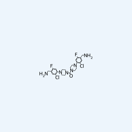 NCc1cc(Cl)c(N2CCN(C(=O)N3CCN(c4cc(F)c(CN)cc4Cl)CC3)CC2)cc1F